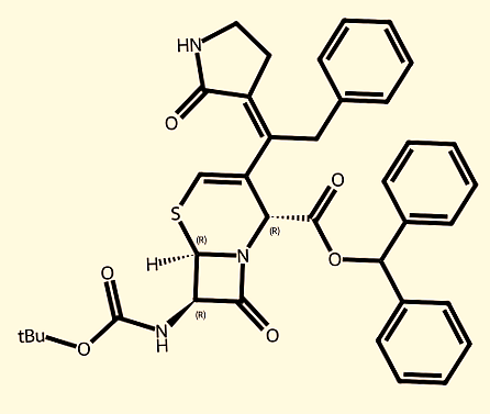 CC(C)(C)OC(=O)N[C@@H]1C(=O)N2[C@@H](C(=O)OC(c3ccccc3)c3ccccc3)C(C(Cc3ccccc3)=C3CCNC3=O)=CS[C@H]12